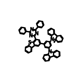 CC12C=CC=CC1c1ccccc1N2c1cc(-c2cc(-c3nc(-c4ccccc4)nc(-c4ccccc4)n3)c3sc4ccccc4c3c2)cc(-n2c3ccccc3c3ccccc32)c1